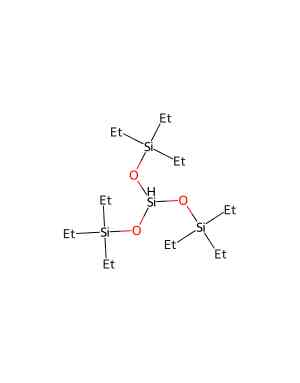 CC[Si](CC)(CC)O[SiH](O[Si](CC)(CC)CC)O[Si](CC)(CC)CC